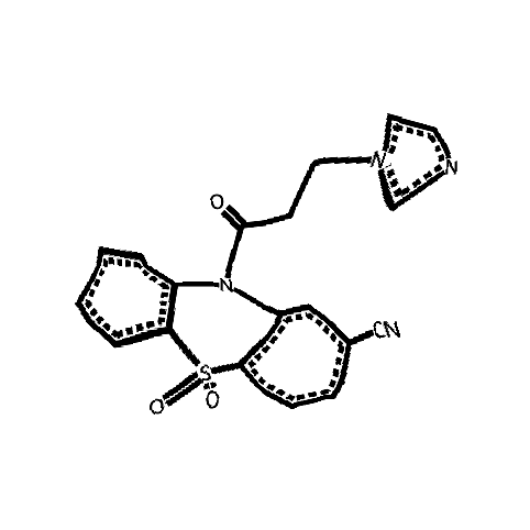 N#Cc1ccc2c(c1)N(C(=O)CCn1ccnc1)c1ccccc1S2(=O)=O